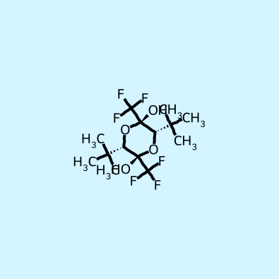 CC(C)(C)[C@@H]1O[C@](O)(C(F)(F)F)[C@H](C(C)(C)C)O[C@]1(O)C(F)(F)F